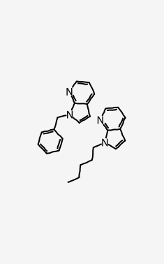 CCCCCn1ccc2cccnc21.c1ccc(Cn2ccc3cccnc32)cc1